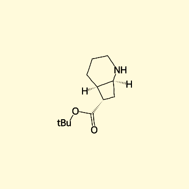 CC(C)(C)OC(=O)[C@H]1C[C@@H]2NCCC[C@@H]21